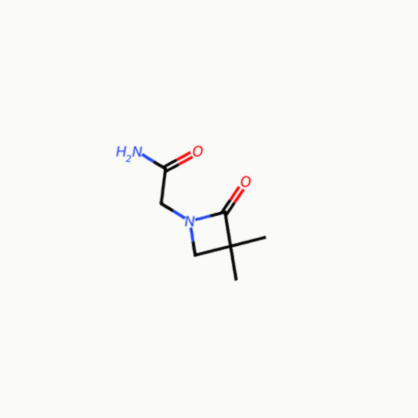 CC1(C)CN(CC(N)=O)C1=O